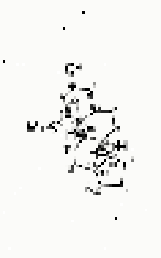 CSC1=CC(=O)C=C2CC[C@H]3[C@@H]4CCC[C@@]4(C)CC[C@@H]3[C@]21C